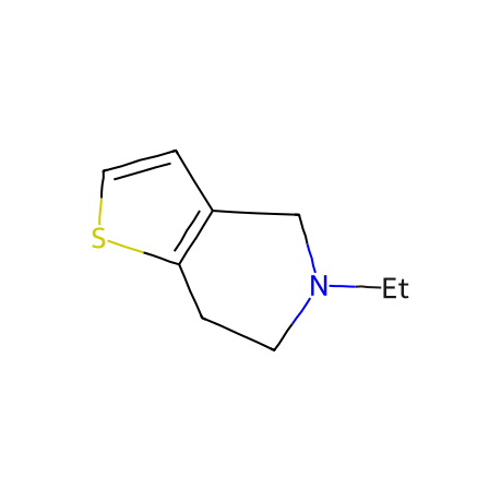 [CH2]CN1CCc2sccc2C1